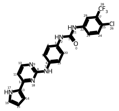 O=C(Nc1ccc(Nc2nccc(-c3ccc[nH]3)n2)cc1)Nc1ccc(Cl)c(C(F)(F)F)c1